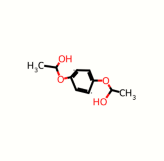 CC(O)Oc1[c]cc(OC(C)O)[c]c1